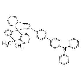 CC1(C)c2ccccc2C2(c3cc(-c4ccc(-c5ccc(N(c6ccccc6)c6ccccc6)cc5)cc4)ccc3C3C=CC=CC32)c2ccccc21